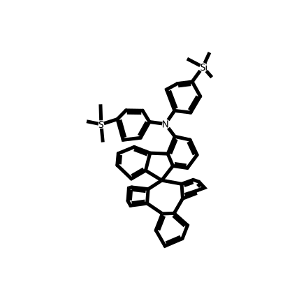 C[Si](C)(C)c1ccc(N(c2ccc(S(C)(C)C)cc2)c2cccc3c2-c2ccccc2C32c3ccccc3-c3ccccc3-c3ccccc32)cc1